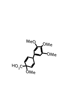 COc1cc(C2C=CC(OC)(C(=O)O)C=C2)cc(OC)c1OC